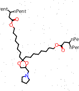 CCCCCC(CCCCC)CC(=O)OCCCCCCCCC1(CCCCCCCCOC(=O)CC(CCCCC)CCCCC)OCC(CN2CCCC2)O1